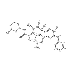 CC(=O)N1CCCC(NC(=O)c2sc3c(N)ccc4c3c2C(N)C(=O)C4(N)c2ccc(Oc3ccccc3)c(Cl)c2)C1